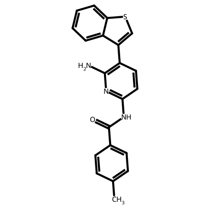 Cc1ccc(C(=O)Nc2ccc(-c3csc4ccccc34)c(N)n2)cc1